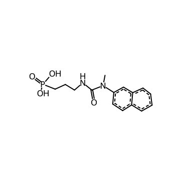 CN(C(=O)NCCCP(=O)(O)O)c1ccc2ccccc2c1